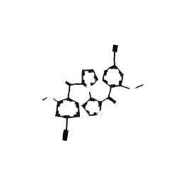 C#Cc1ccc(C(=O)c2[nH]ccc2-n2cccc2C(=O)c2ccc(C#C)cc2OC)c(OC)c1